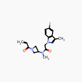 C=CC(=O)N1CC(N(C)C(=O)Cn2cc(C)c3cc(I)ccc32)C1